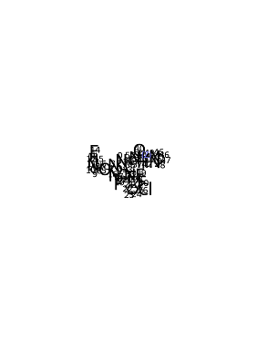 CN(c1nc(OC[C@@]23CCCN2C[C@H](F)C3)nc2c(F)c(-c3cccc(Cl)c3C(F)(F)F)ncc12)[C@@H]1CCN(C(=O)/C(F)=C/N2C=CC=CN2)C1